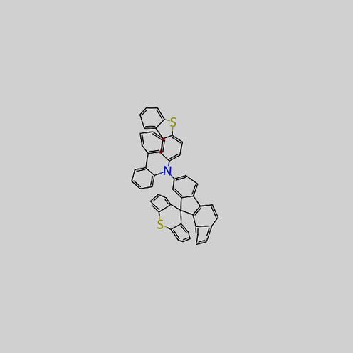 c1ccc(-c2ccccc2N(c2ccc3c(c2)C2(c4ccccc4Sc4ccccc42)c2c-3ccc3ccccc23)c2ccc3sc4ccccc4c3c2)cc1